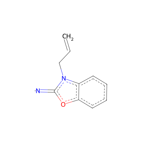 C=CCn1c(=[N])oc2ccccc21